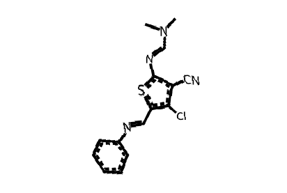 CN(C)/C=N/c1sc(/C=N/c2ccccc2)c(Cl)c1C#N